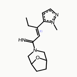 CC/C(=C\C(=N)N1CC2CCC(C1)O2)c1ccnn1C